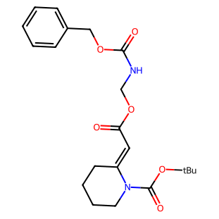 CC(C)(C)OC(=O)N1CCCCC1=CC(=O)OCNC(=O)OCc1ccccc1